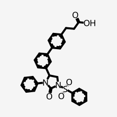 O=C(O)CCc1ccc(-c2cccc(C3CN(S(=O)(=O)c4ccccc4)C(=O)N3c3ccccc3)c2)cc1